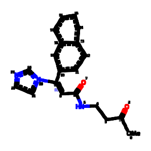 COC(=O)CCNC(=O)/C=C(\c1ccc2ccccc2c1)n1ccnc1